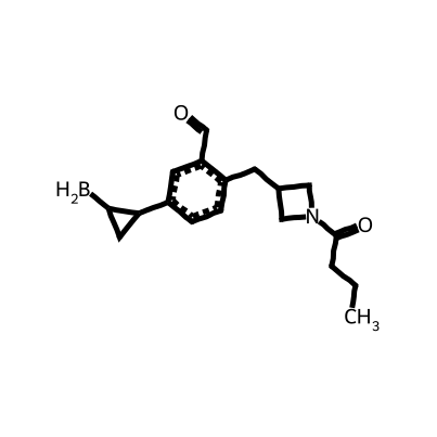 BC1CC1c1ccc(CC2CN(C(=O)CCC)C2)c(C=O)c1